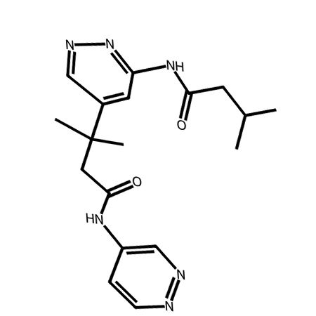 CC(C)CC(=O)Nc1cc(C(C)(C)CC(=O)Nc2ccnnc2)cnn1